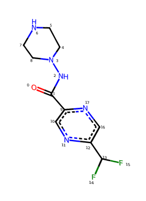 O=C(NN1CCNCC1)c1cnc(C(F)F)cn1